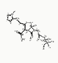 Cn1nnnc1SCC1=C(C(=O)O)N2C(=O)C(NC(=O)CS(=O)(=O)C(F)(F)CF)[C@H]2SC1